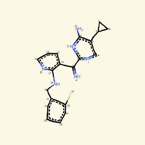 N=C(c1ncc(C2CC2)c(N)n1)c1cccnc1NCc1ccccc1F